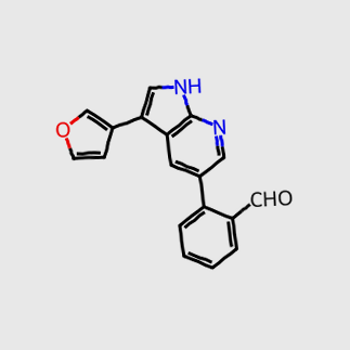 O=Cc1ccccc1-c1cnc2[nH]cc(-c3ccoc3)c2c1